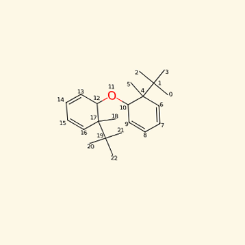 CC(C)(C)C1(C)C=CC=CC1OC1C=CC=CC1(C)C(C)(C)C